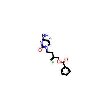 Nc1ccn(CCC(=CF)COC(=O)c2ccccc2)c(=O)n1